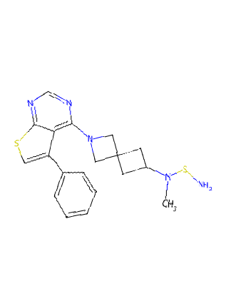 CN(SN)C1CC2(C1)CN(c1ncnc3scc(-c4ccccc4)c13)C2